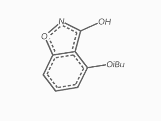 CC(C)COc1cccc2onc(O)c12